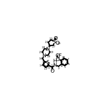 O=C(NCc1ccccc1OC(F)(F)F)c1ccc(CN2CCN(C3CCS(=O)(=O)C3)CC2)s1